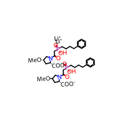 COC1C[C@@H](C(=O)[O-])N(C(=O)CP(=O)(O)CCCCc2ccccc2)C1.CO[C@H]1C[C@@H](C(=O)[O-])N(C(=O)CP(=O)(O)CCCCc2ccccc2)C1.[Li+].[Li+]